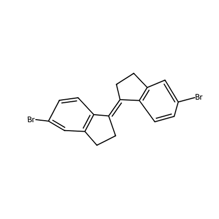 Brc1ccc2c(c1)CCC2=C1CCc2cc(Br)ccc21